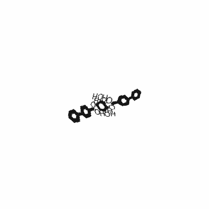 O[C@@H]1[C@H]2OC(c3ccc(-c4ccccc4)cc3)O[C@H]2[C@@H](O)[C@@H]2OC(c3ccc(-c4ccccc4)cc3)O[C@@H]12